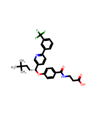 CC(C)(C)CC[C@@H](Oc1ccc(C(=O)NCCC(=O)O)cc1)c1ccc(-c2cccc(C(F)(F)F)c2)nc1